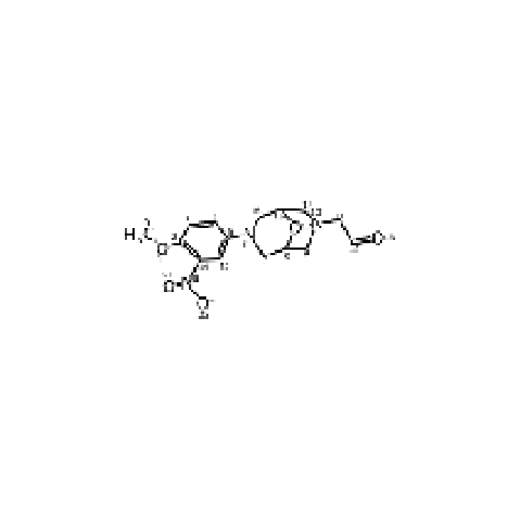 COc1ccc(N2CC3CN(CC=O)CC(C2)O3)cc1[N+](=O)[O-]